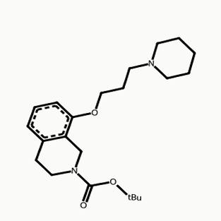 CC(C)(C)OC(=O)N1CCc2cccc(OCCCN3CCCCC3)c2C1